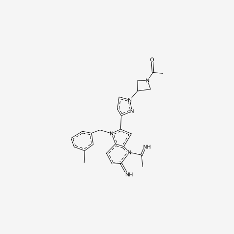 CC(=N)n1c(=N)ccc2c1cc(-c1ccn(C3CN(C(C)=O)C3)n1)n2Cc1cccc(C)c1